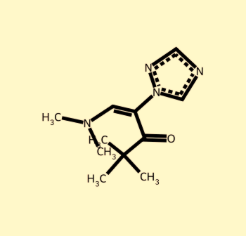 CN(C)C=C(C(=O)C(C)(C)C)n1cncn1